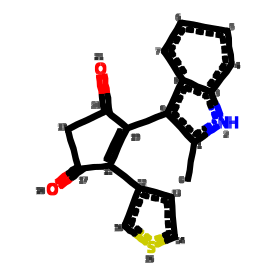 Cc1[nH]c2ccccc2c1C1=C(c2ccsc2)C(=O)CC1=O